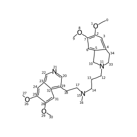 COc1cc2c(cc1OC)CN(CCCN(C)CCc1cncc3cc(OC)c(OC)cc13)CC2